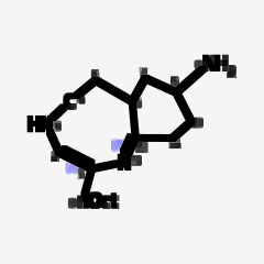 CCCCCCCCC1=C/NCCC2CC(N)CC\C2=N\1